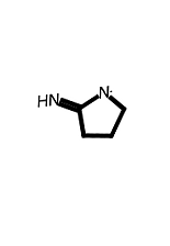 N=C1CCC[N]1